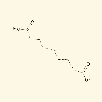 O=C(O)CCC[CH]CCCC(=O)O